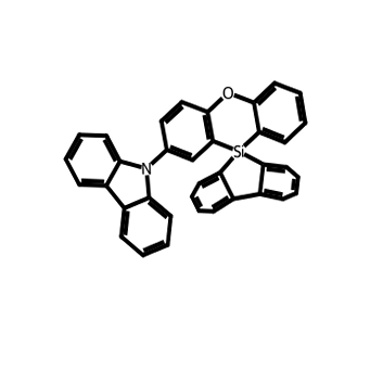 c1ccc2c(c1)Oc1ccc(-n3c4ccccc4c4ccccc43)cc1[Si]21c2ccccc2-c2ccccc21